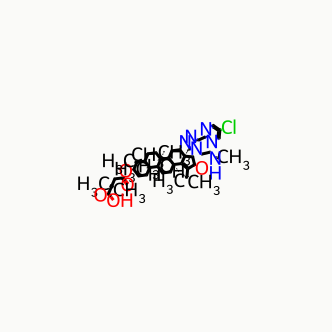 CNCCn1c(-c2ncc(Cl)cn2)nnc1[C@@]12CC[C@]3(C)[C@H](CC[C@@H]4[C@@]5(C)CC[C@H](OC(=O)CC(C)(C)C(=O)O)C(C)(C)C5CC[C@]43C)C1=C(C(C)C)C(=O)C2